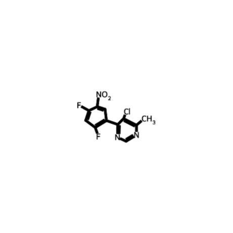 Cc1ncnc(-c2cc([N+](=O)[O-])c(F)cc2F)c1Cl